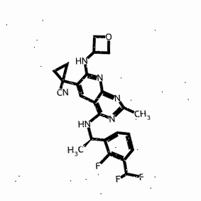 Cc1nc(N[C@H](C)c2cccc(C(F)F)c2F)c2cc(C3(C#N)CC3)c(NC3COC3)nc2n1